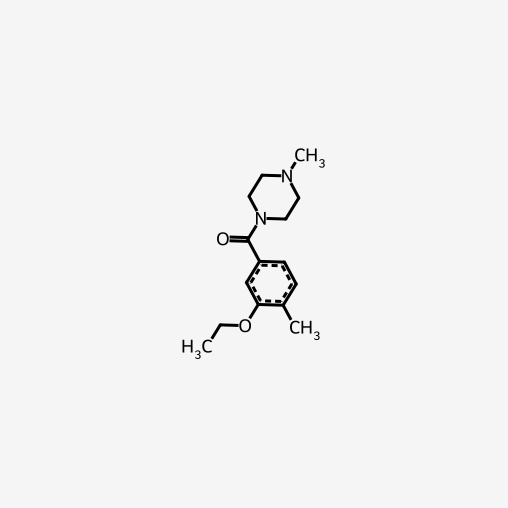 CCOc1cc(C(=O)N2CCN(C)CC2)ccc1C